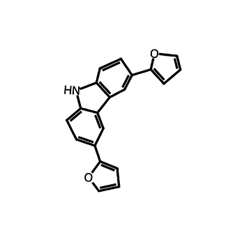 c1coc(-c2ccc3[nH]c4ccc(-c5ccco5)cc4c3c2)c1